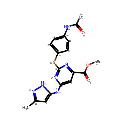 CCCCOC(=O)c1cc(Nc2cc(C)n[nH]2)nc(Sc2ccc(NC(=O)CC)cc2)n1